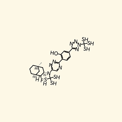 C[C@@]12CCC[C@@H](C1)[C@@H](F)[C@@H](N(c1cnc(-c3ccc(-c4nnn(C(S)(S)S)n4)cc3O)nn1)C(S)(S)S)C2